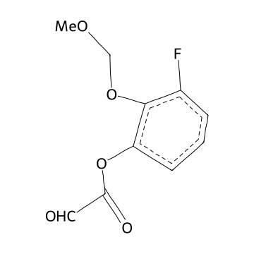 COCOc1c(F)cccc1OC(=O)C=O